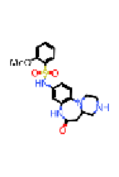 COc1ccccc1S(=O)(=O)Nc1ccc2c(c1)NC(=O)CC1CNCCN21